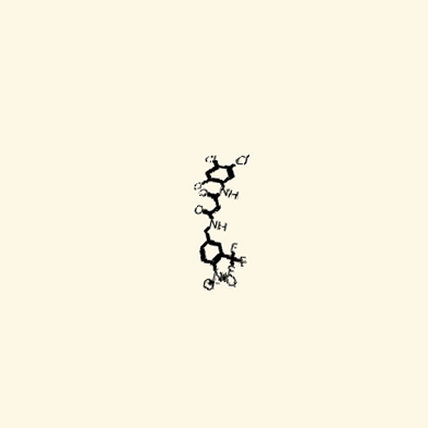 O=C(CC(=O)Nc1cc(Cl)c(Cl)cc1Cl)NCc1ccc([N+](=O)[O-])c(C(F)(F)F)c1